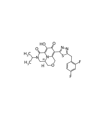 CC(C)N1C[C@@H]2COCc3c(-c4nnc(Cc5ccc(F)cc5F)s4)c(=O)c(O)c(n32)C1=O